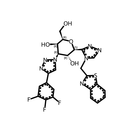 OC[C@H]1O[C@@H](c2nncn2Cc2nc3ccccc3s2)[C@H](O)[C@@H](n2cc(-c3cc(F)c(F)c(F)c3)nn2)[C@H]1O